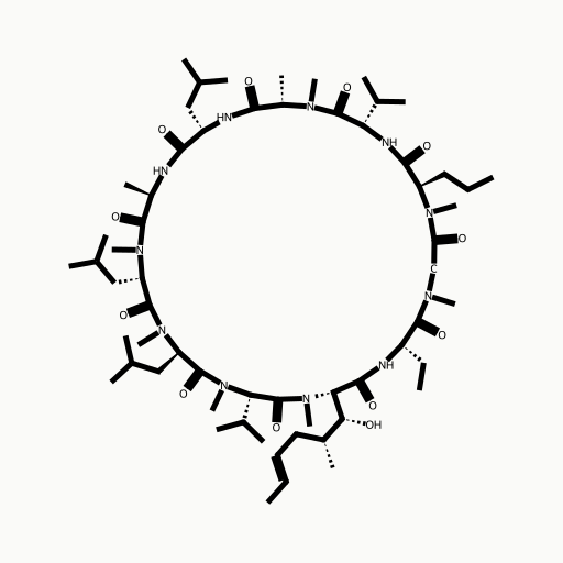 C/C=C/C[C@@H](C)[C@@H](O)[C@H]1C(=O)N[C@@H](CC)C(=O)N(C)CC(=O)N(C)[C@H](CCC)C(=O)N[C@@H](C(C)C)C(=O)N(C)[C@@H](C)C(=O)N[C@@H](CC(C)C)C(=O)N[C@H](C)C(=O)N(C)[C@@H](CC(C)C)C(=O)N(C)[C@H](CC(C)C)C(=O)N(C)[C@@H](C(C)C)C(=O)N1C